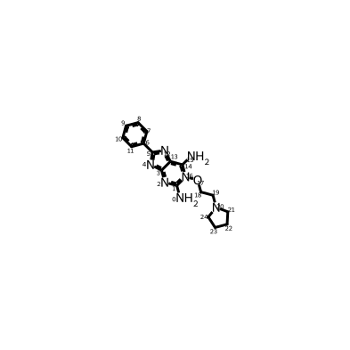 Nc1nc2nc(-c3ccccc3)nc-2c(N)n1OCCN1CCCC1